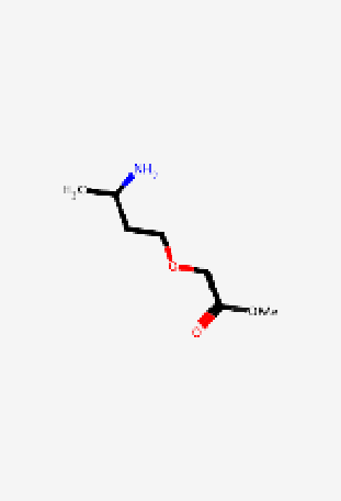 COC(=O)COCCC(C)N